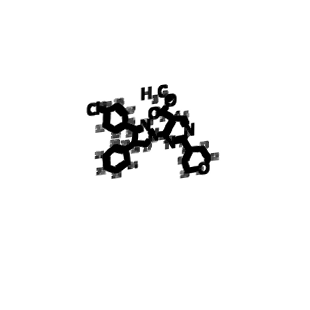 COC(=O)c1cnc(C2=CCOCC2)nc1N1CC(c2ccccc2)C(c2ccc(Cl)cc2)=N1